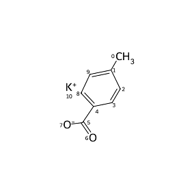 Cc1ccc(C(=O)[O-])cc1.[K+]